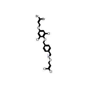 ClC(Cl)=CCO/N=C/c1ccc(COc2c(Cl)cc(OCC=C(Br)Br)cc2Cl)cc1